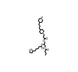 CCCC(=O)OCC(COC(=O)CCN1CCC(CCCC2CCN(C)CC2)CC1)OC(=O)CCCCC1CCSS1